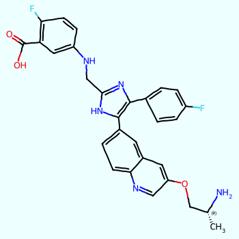 C[C@@H](N)COc1cnc2ccc(-c3[nH]c(CNc4ccc(F)c(C(=O)O)c4)nc3-c3ccc(F)cc3)cc2c1